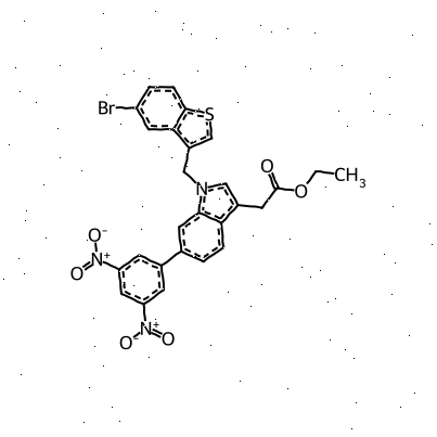 CCOC(=O)Cc1cn(Cc2csc3ccc(Br)cc23)c2cc(-c3cc([N+](=O)[O-])cc([N+](=O)[O-])c3)ccc12